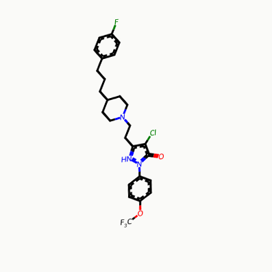 O=c1c(Cl)c(CCN2CCC(CCCc3ccc(F)cc3)CC2)[nH]n1-c1ccc(OC(F)(F)F)cc1